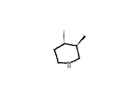 C[C@H]1CNCC[C@@H]1I